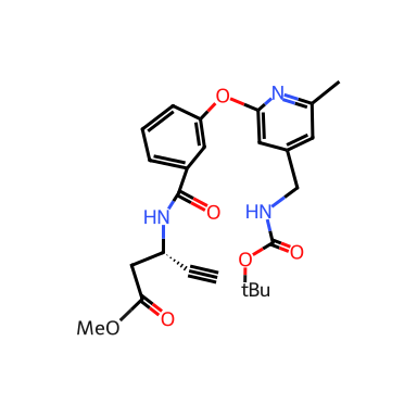 C#C[C@H](CC(=O)OC)NC(=O)c1cccc(Oc2cc(CNC(=O)OC(C)(C)C)cc(C)n2)c1